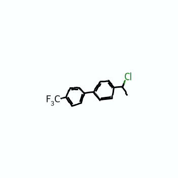 CC(Cl)c1ccc(-c2ccc(C(F)(F)F)cc2)cc1